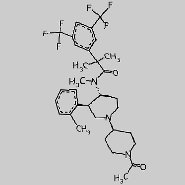 CC(=O)N1CCC(N2CC[C@@H](N(C)C(=O)C(C)(C)c3cc(C(F)(F)F)cc(C(F)(F)F)c3)[C@H](c3ccccc3C)C2)CC1